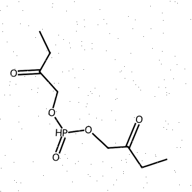 CCC(=O)CO[PH](=O)OCC(=O)CC